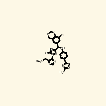 CCc1cc(C(Nc2ccc(-c3noc(C)n3)cc2)c2nn(-c3ncsc3CC(=O)O)c(=O)[nH]2)cc2c1OCOC2